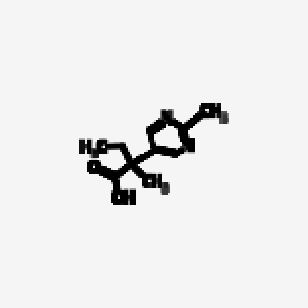 CCC(C)(C(=O)O)c1cnc(C)nc1